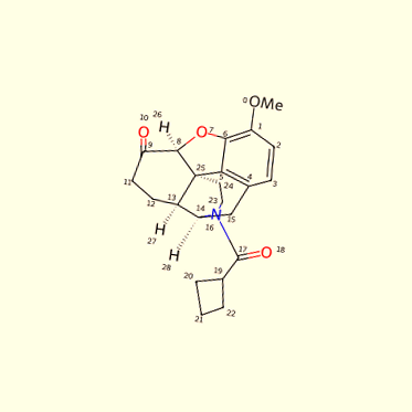 COc1ccc2c3c1O[C@@H]1C(=O)CC[C@@H]4[C@H](C2)N(C(=O)C2CCC2)CC[C@@]314